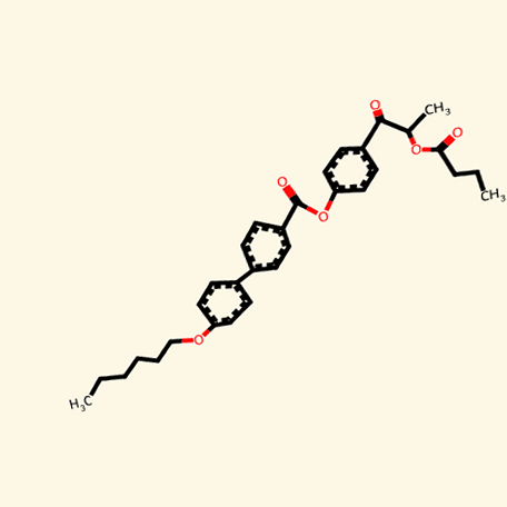 CCCCCCOc1ccc(-c2ccc(C(=O)Oc3ccc(C(=O)C(C)OC(=O)CCC)cc3)cc2)cc1